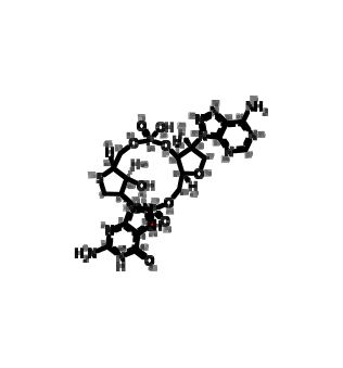 Nc1nc2c(nnn2[C@@]23CS[C@H](COP(=O)(O)O[C@@H]4[C@@H](COP(=O)(S)O2)OC[C@@]4(F)n2nnc4c(N)ncnc42)[C@H]3O)c(=O)[nH]1